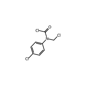 O=C(Cl)N(CCl)c1ccc(Cl)cc1